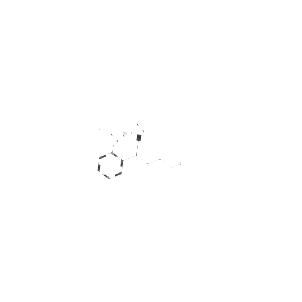 CCCCC(C#N)c1ccccc1[N+](=O)[O-]